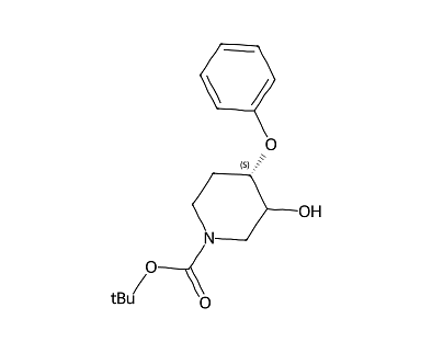 CC(C)(C)OC(=O)N1CC[C@H](Oc2ccccc2)C(O)C1